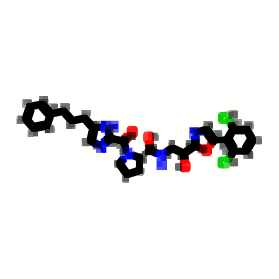 O=C(CNC(=O)[C@@H]1CCCN1C(=O)c1ncc(CCCc2ccccc2)[nH]1)c1ncc(-c2c(Cl)cccc2Cl)o1